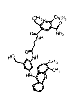 CCc1nc(OC)c(C(N)=O)cc1C(=O)NCCC(=O)Nc1cc(CO)cc(Nc2c3ccccc3nc3c(C)c(C)ccc23)c1